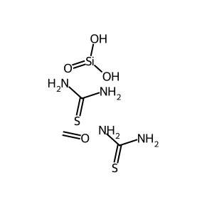 C=O.NC(N)=S.NC(N)=S.O=[Si](O)O